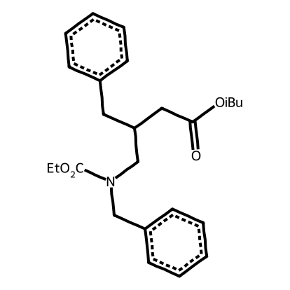 CCOC(=O)N(Cc1ccccc1)CC(CC(=O)OCC(C)C)Cc1ccccc1